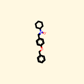 [O-][N+](=Cc1ccc(OCc2ccccc2)cc1)C1CCCCC1